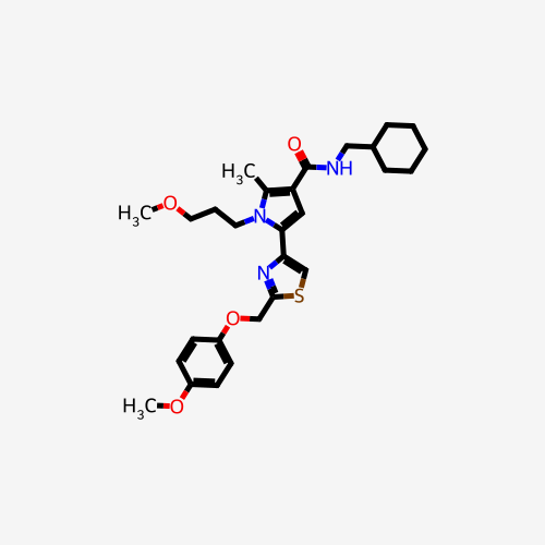 COCCCn1c(-c2csc(COc3ccc(OC)cc3)n2)cc(C(=O)NCC2CCCCC2)c1C